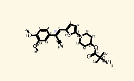 COc1ccc(/C(C#N)=C/c2ccc(N3CCC(OC(=O)C(C)(C)N)CC3)s2)cc1OC